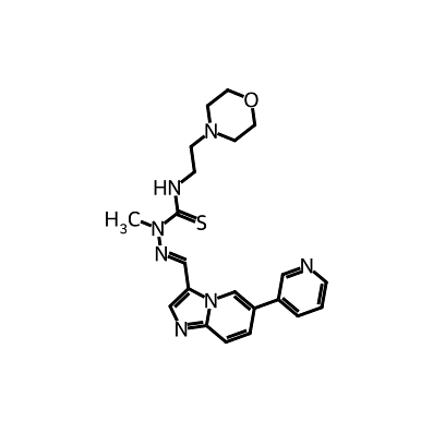 CN(N=Cc1cnc2ccc(-c3cccnc3)cn12)C(=S)NCCN1CCOCC1